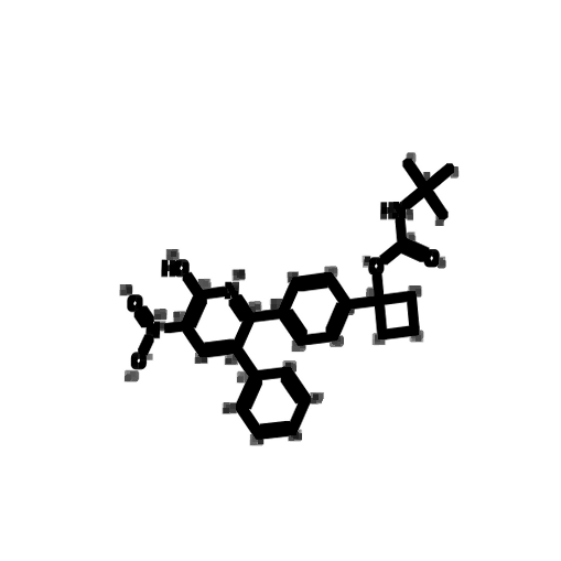 CC(C)(C)NC(=O)OC1(c2ccc(-c3nc(O)c([N+](=O)[O-])cc3-c3ccccc3)cc2)CCC1